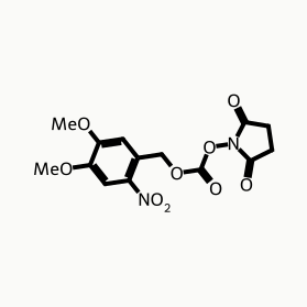 COc1cc(COC(=O)ON2C(=O)CCC2=O)c([N+](=O)[O-])cc1OC